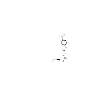 CCN(C#CCCC(=O)O)C(=O)CCC(=O)Nc1ccc(C(=N)N)cc1